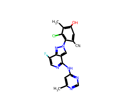 Cc1cc(Nc2ncc(F)c3nn(-c4c(C#N)cc(O)c(C)c4Cl)cc23)ncn1